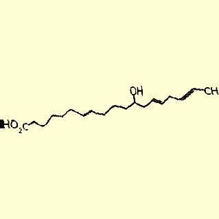 CC=CCC=CCC(O)CCCCCCCCCCC(=O)O